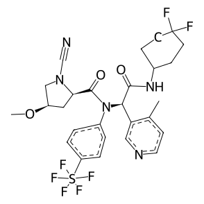 CO[C@@H]1C[C@H](C(=O)N(c2ccc(S(F)(F)(F)(F)F)cc2)[C@@H](C(=O)NC2CCC(F)(F)CC2)c2cnccc2C)N(C#N)C1